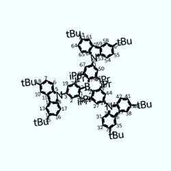 CC(C)c1cc(-n2c3ccc(C(C)(C)C)cc3c3cc(C(C)(C)C)ccc32)cc(C(C)C)c1B(c1c(C(C)C)cc(-n2c3ccc(C(C)(C)C)cc3c3cc(C(C)(C)C)ccc32)cc1C(C)C)c1c(C(C)C)cc(-n2c3ccc(C(C)(C)C)cc3c3cc(C(C)(C)C)ccc32)cc1C(C)C